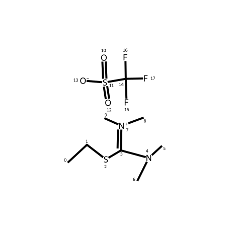 CCSC(N(C)C)=[N+](C)C.O=S(=O)([O-])C(F)(F)F